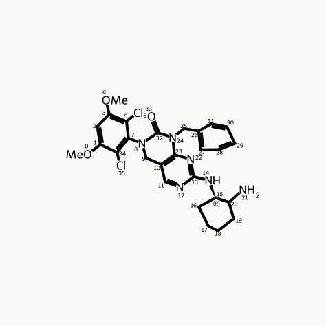 COc1cc(OC)c(Cl)c(N2Cc3cnc(N[C@@H]4CCCCC4N)nc3N(Cc3ccccc3)C2=O)c1Cl